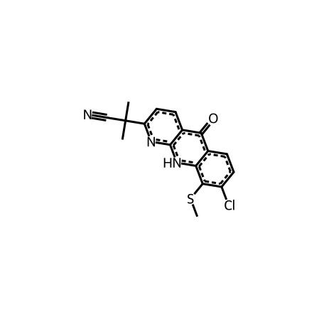 CSc1c(Cl)ccc2c(=O)c3ccc(C(C)(C)C#N)nc3[nH]c12